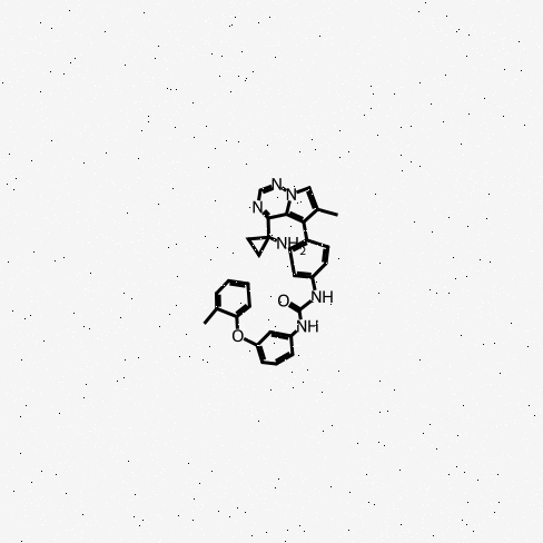 Cc1ccccc1Oc1cccc(NC(=O)Nc2ccc(-c3c(C)cn4ncnc(C5(N)CC5)c34)cc2)c1